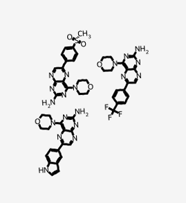 CS(=O)(=O)c1ccc(-c2cnc3nc(N)nc(N4CCOCC4)c3n2)cc1.Nc1nc(N2CCOCC2)c2nc(-c3ccc(C(F)(F)F)cc3)cnc2n1.Nc1nc(N2CCOCC2)c2nc(-c3ccc4[nH]ccc4c3)cnc2n1